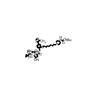 Cc1ncsc1-c1ccc(CNC(=O)[C@@H]2C[C@@H](O)CN2C(=O)[C@@H](NC(=O)C2(F)CC2)C(C)(C)C)c(OCCCCCCCCN2CCC(NC(=O)OC(C)(C)C)CC2)c1